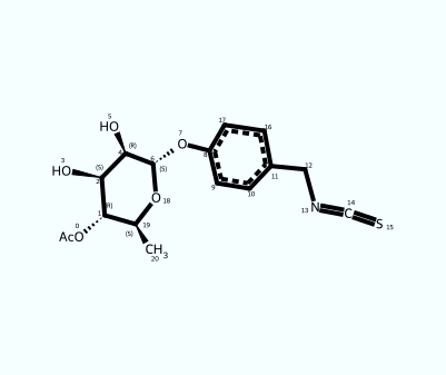 CC(=O)O[C@@H]1[C@@H](O)[C@@H](O)[C@H](Oc2ccc(CN=C=S)cc2)O[C@H]1C